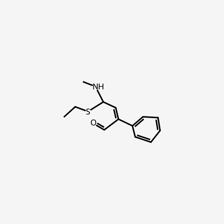 CCSC(C=C(C=O)c1ccccc1)NC